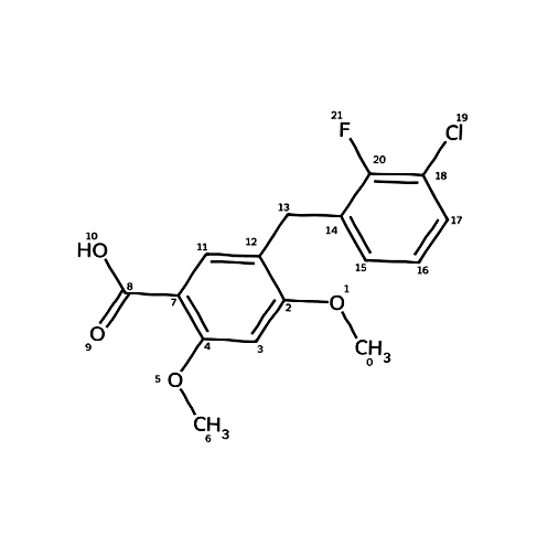 COc1cc(OC)c(C(=O)O)cc1Cc1cccc(Cl)c1F